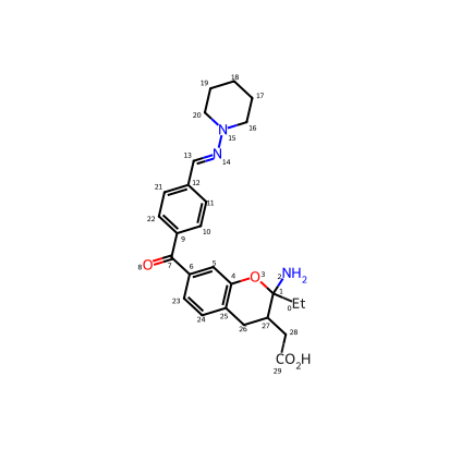 CCC1(N)Oc2cc(C(=O)c3ccc(C=NN4CCCCC4)cc3)ccc2CC1CC(=O)O